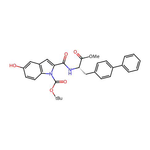 COC(=O)[C@H](Cc1ccc(-c2ccccc2)cc1)NC(=O)c1cc2cc(O)ccc2n1C(=O)OC(C)(C)C